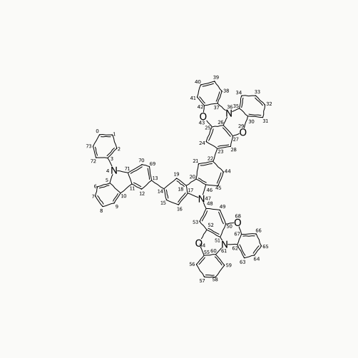 c1ccc(-n2c3ccccc3c3cc(-c4ccc5c(c4)c4cc(-c6cc7c8c(c6)Oc6ccccc6N8c6ccccc6O7)ccc4n5-c4cc5c6c(c4)Oc4ccccc4N6c4ccccc4O5)ccc32)cc1